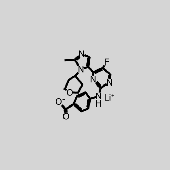 Cc1ncc(-c2nc(Nc3ccc(C(=O)[O-])cc3)ncc2F)n1C1CCOCC1.[Li+]